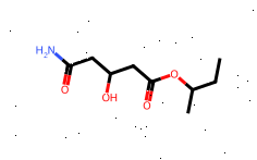 CCC(C)OC(=O)CC(O)CC(N)=O